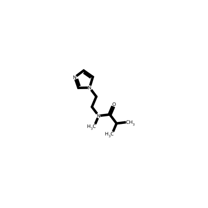 CC(C)C(=O)N(C)CCn1ccnc1